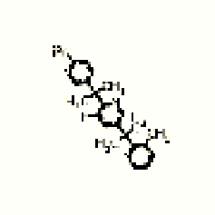 Cc1cccnc1C(C)(C)c1cnc(C(C)(C)c2ccc(C(C)C)nc2)c(F)c1